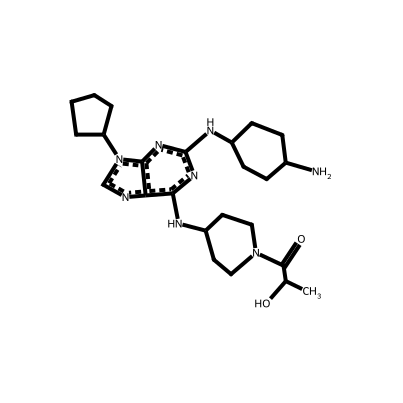 CC(O)C(=O)N1CCC(Nc2nc(NC3CCC(N)CC3)nc3c2ncn3C2CCCC2)CC1